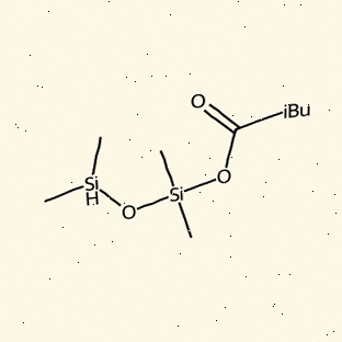 CCC(C)C(=O)O[Si](C)(C)O[SiH](C)C